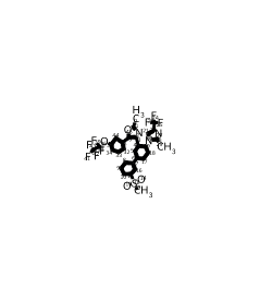 Cc1nc(-c2cc(-c3cccc(S(C)(=O)=O)c3)ccc2-n2cc(C(F)(F)F)nc2C)c(-c2cccc(OC(F)(F)C(F)(F)F)c2)o1